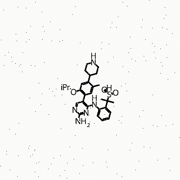 Cc1cc(-c2cnc(N)nc2Nc2ccccc2C(C)(C)[SH](=O)=O)c(OC(C)C)cc1C1CCNCC1